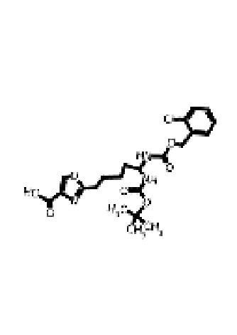 CC(C)(C)OC(=O)NC(CCCCc1nc(C(=O)O)co1)NC(=O)OCc1ccccc1Cl